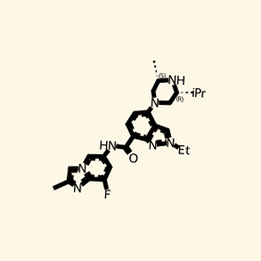 CCn1cc2c(N3C[C@@H](C(C)C)N[C@@H](C)C3)ccc(C(=O)Nc3cc(F)c4nc(C)cn4c3)c2n1